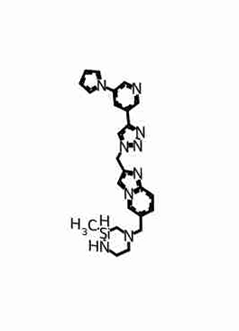 C[Si@H]1CN(Cc2ccc3nc(Cn4cc(-c5cncc(-n6cccc6)c5)nn4)cn3c2)CCN1